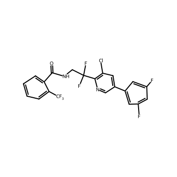 O=C(NCC(F)(F)c1ncc(-c2cc(F)cc(F)c2)cc1Cl)c1ccccc1C(F)(F)F